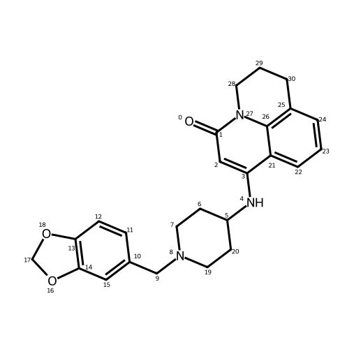 O=c1cc(NC2CCN(Cc3ccc4c(c3)OCO4)CC2)c2cccc3c2n1CCC3